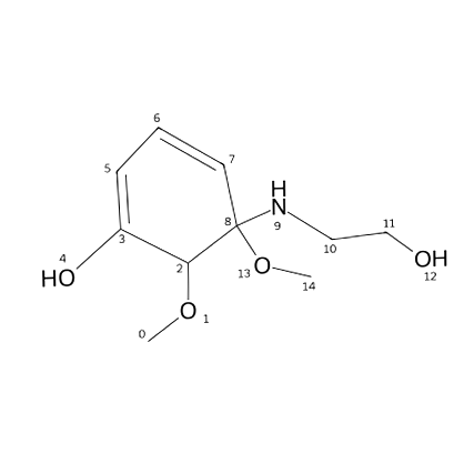 COC1C(O)=CC=CC1(NCCO)OC